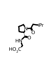 CC(C)CC(=O)N1CCC[C@H]1C(=O)NCC(=O)O